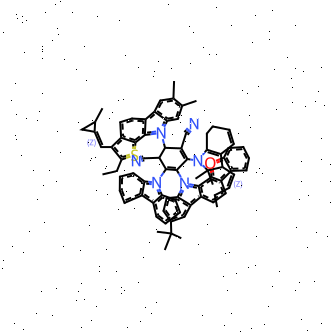 CC/C=C\C1C2=C(CCC=C2)N(C2=C(C#N)C(n3c4cc(C)c(C)cc4c4ccc5c(/C=C6/CC6C)c(CC)sc5c43)C(C#N)C(n3c4ccccc4c4ccccc43)=C2n2c3ccc(C(C)(C)C)cc3c3ccc4c5ccccc5oc4c32)C1(C)C